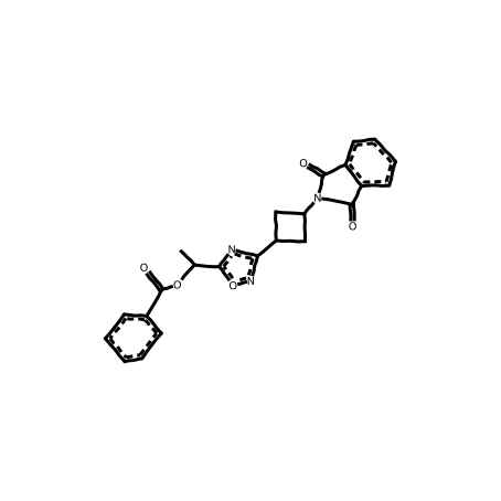 CC(OC(=O)c1ccccc1)c1nc(C2CC(N3C(=O)c4ccccc4C3=O)C2)no1